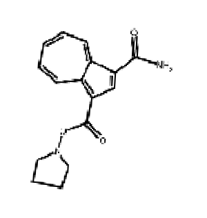 NC(=O)c1cc(C(=O)ON2CCCC2)c2cccccc1-2